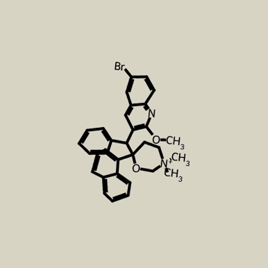 COc1nc2ccc(Br)cc2cc1C(c1ccccc1)C1(c2cccc3ccccc23)CC[N+](C)(C)CO1